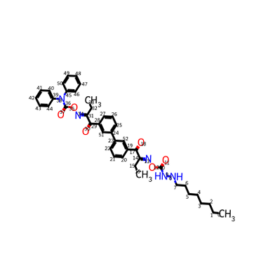 CCCCCCCCNNC(=O)O/N=C(\CC)C(=O)c1cccc(-c2cccc(C(=O)/C(CC)=N/OC(=O)N(c3ccccc3)c3ccccc3)c2)c1